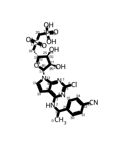 CC(Nc1nc(Cl)nc2c1ccn2[C@@H]1O[C@H](CS(=O)(=O)CP(=O)(O)O)[C@@H](O)[C@H]1O)c1ccc(C#N)cc1